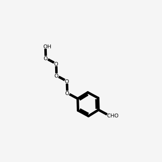 O=Cc1ccc(OOOOOO)cc1